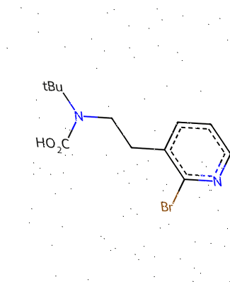 CC(C)(C)N(CCc1cccnc1Br)C(=O)O